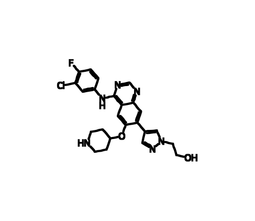 OCCn1cc(-c2cc3ncnc(Nc4ccc(F)c(Cl)c4)c3cc2OC2CCNCC2)cn1